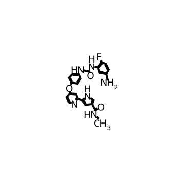 CCNC(=O)c1c[nH]c(-c2cc(Oc3ccc(NC(=O)Nc4cc(CN)ccc4F)cc3)ccn2)c1